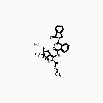 CCOC(=O)n1nc2c(c1NC(=O)c1ccccc1C(=O)N1Cc3ccccc3C1=O)CNC2(C)C.Cl